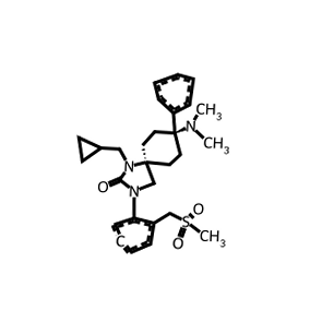 CN(C)[C@]1(c2ccccc2)CC[C@]2(CC1)CN(c1ccccc1CS(C)(=O)=O)C(=O)N2CC1CC1